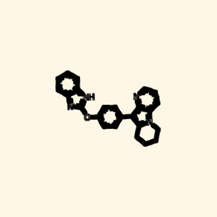 c1ccc2[nH]c(Oc3ccc(-c4c5n(c6cccnc46)CCCC5)cc3)nc2c1